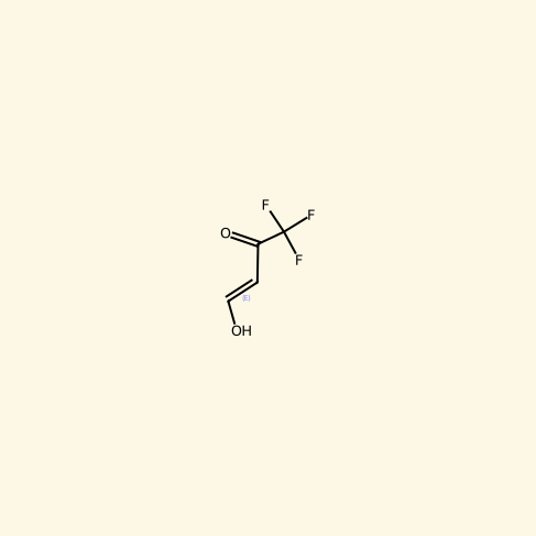 O=C(/C=C/O)C(F)(F)F